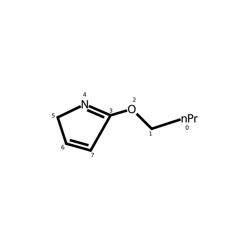 CCCCOC1=NCC=C1